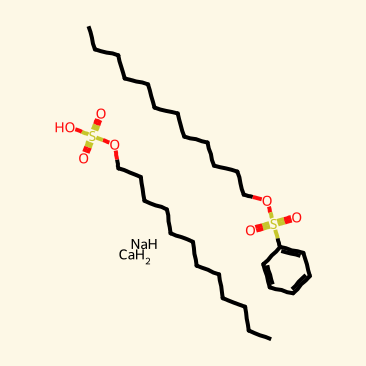 CCCCCCCCCCCCOS(=O)(=O)O.CCCCCCCCCCCCOS(=O)(=O)c1ccccc1.[CaH2].[NaH]